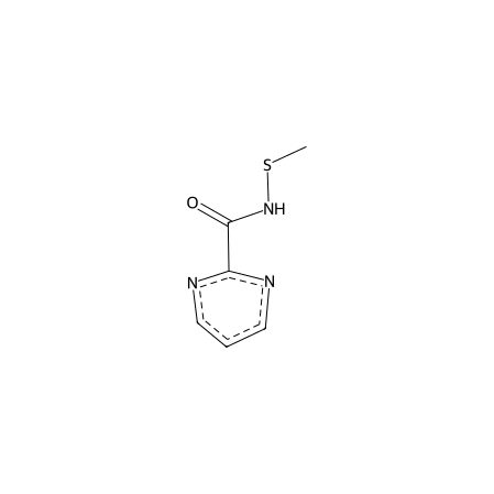 CSNC(=O)c1ncccn1